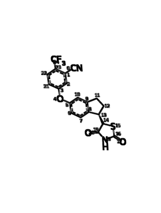 N#Cc1cc(Oc2ccc3c(c2)CC[C@H]3C2SC(=O)NC2=O)ccc1C(F)(F)F